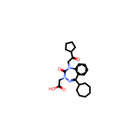 O=C(O)CN1N=C(C2CCCCCC2)c2ccccc2N(CC(=O)C2CCCC2)C1=O